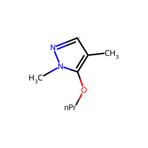 CCCOc1c(C)[c]nn1C